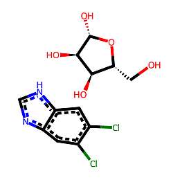 Clc1cc2nc[nH]c2cc1Cl.OC[C@H]1O[C@@H](O)[C@H](O)[C@@H]1O